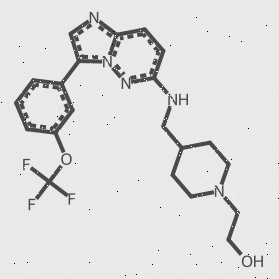 OCCN1CCC(CNc2ccc3ncc(-c4cccc(OC(F)(F)F)c4)n3n2)CC1